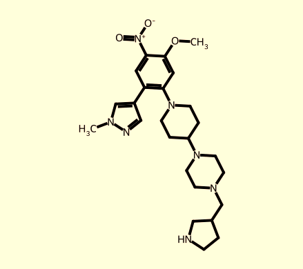 COc1cc(N2CCC(N3CCN(CC4CCNC4)CC3)CC2)c(-c2cnn(C)c2)cc1[N+](=O)[O-]